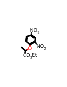 CCOC(=O)C(C)Oc1ccc([N+](=O)[O-])cc1[N+](=O)[O-]